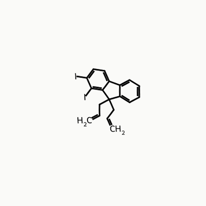 C=CCC1(CC=C)c2ccccc2-c2ccc(I)c(I)c21